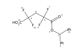 CC(C)C(OC(=O)C(F)(F)CC(F)(F)C(=O)O)C(C)C